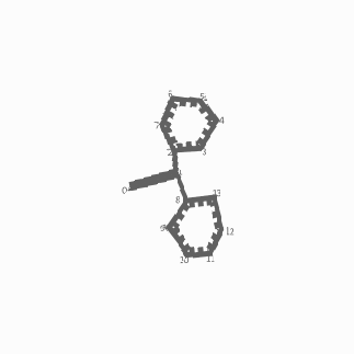 [CH]=C(c1cc[c]cc1)c1ccccc1